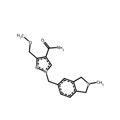 COCc1nn(Cc2ccc3c(c2)CN(C)C3)cc1C(N)=O